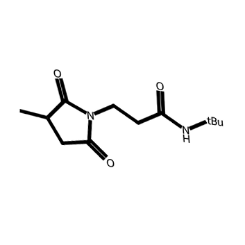 CC1CC(=O)N(CCC(=O)NC(C)(C)C)C1=O